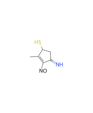 CC1=C(N=O)C(=N)CC1S